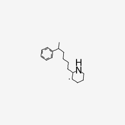 CC(CCCCC1[CH]CCCN1)c1ccccc1